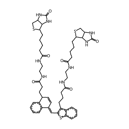 O=C(CCCCC1SCC2NC(=O)NC21)NCCNC(=O)CCCc1c(/C=C2\C=CC(CCC(=O)NCCNC(=O)CCCCC3SCC4NC(=O)NC43)c3ccccc32)sc2ccccc12